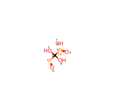 O=PC(O)(O)[PH](=O)O